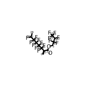 C=C(C(=O)OCC(F)(F)C(F)C(F)(F)F)C(F)(F)C(F)(F)C(F)(F)C(F)(F)C(C)F